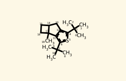 CC(C)(C)c1sc(C(C)(C)C)c2c1CC1CCC21C